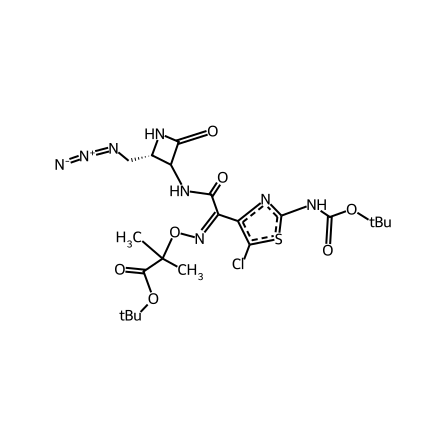 CC(C)(C)OC(=O)Nc1nc(/C(=N/OC(C)(C)C(=O)OC(C)(C)C)C(=O)NC2C(=O)N[C@H]2CN=[N+]=[N-])c(Cl)s1